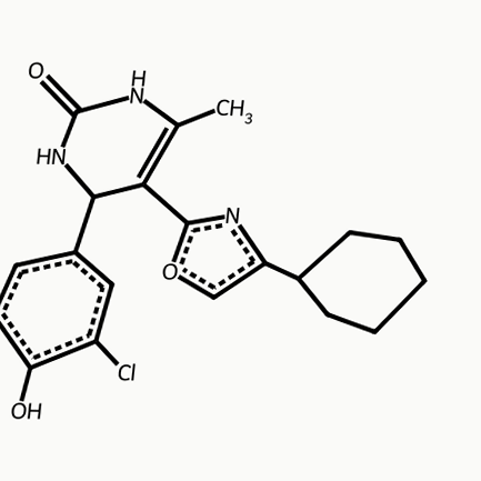 CC1=C(c2nc(C3CCCCC3)co2)C(c2ccc(O)c(Cl)c2)NC(=O)N1